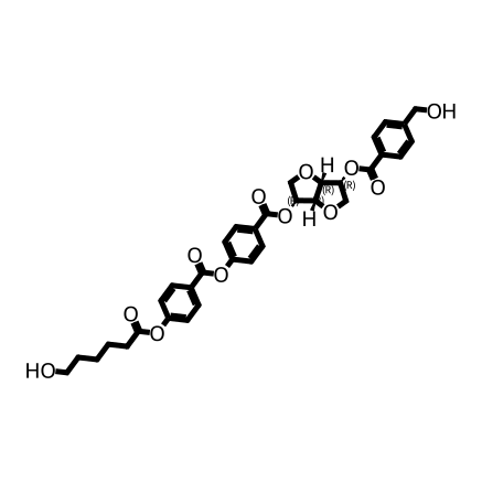 O=C(CCCCCO)Oc1ccc(C(=O)Oc2ccc(C(=O)O[C@@H]3CO[C@H]4[C@@H]3OC[C@H]4OC(=O)c3ccc(CO)cc3)cc2)cc1